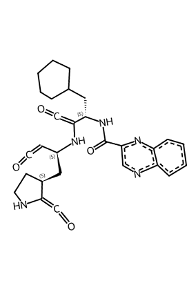 O=C=C[C@H](C[C@@H]1CCNC1=C=O)NC(=C=O)[C@H](CC1CCCCC1)NC(=O)c1cnc2ccccc2n1